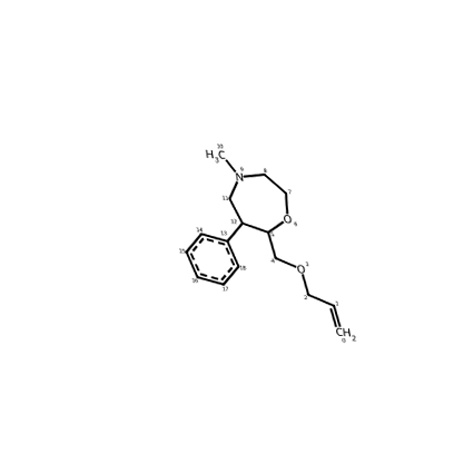 C=CCOCC1OCCN(C)CC1c1ccccc1